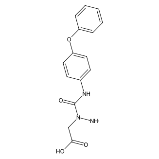 [NH]N(CC(=O)O)C(=O)Nc1ccc(Oc2ccccc2)cc1